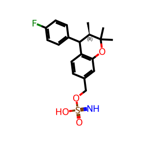 C[C@@H]1C(c2ccc(F)cc2)c2ccc(COS(=N)(=O)O)cc2OC1(C)C